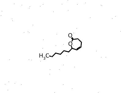 CCCCCCC1C=CCCC(=O)O1